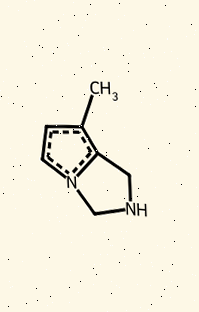 Cc1ccn2c1CNC2